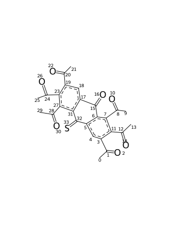 CC(=O)c1cc2c(c(C(C)=O)c1C(C)=O)C(=O)c1cc(C(C)=O)c(C(C)=O)c(C(C)=O)c1C2=S